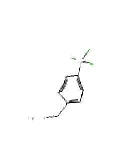 CCCCCCCc1ccc([Si](Cl)(Cl)Cl)cc1